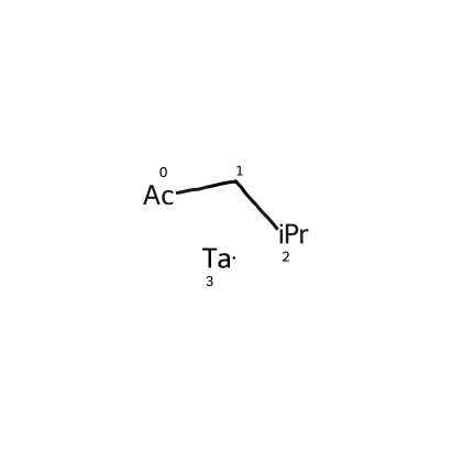 CC(=O)CC(C)C.[Ta]